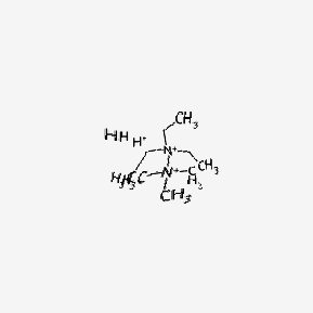 CC[N+](CC)(CC)[N+](C)(C)C.[H+].[HH]